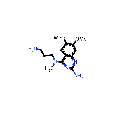 COc1cc2nc(N)nc(N(C)CCCN)c2cc1OC